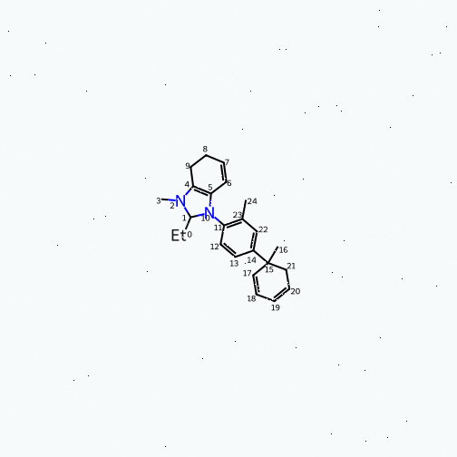 CCC1N(C)C2=C(C=CCC2)N1c1ccc(C2(C)C=CC=CC2)cc1C